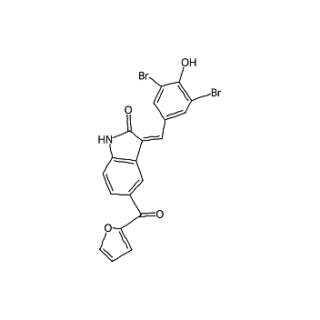 O=C1Nc2ccc(C(=O)c3ccco3)cc2C1=Cc1cc(Br)c(O)c(Br)c1